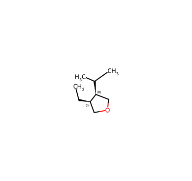 CC[C@@H]1COC[C@@H]1C(C)C